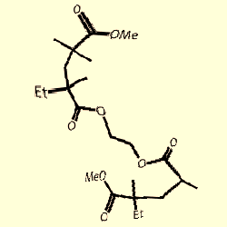 CCC(C)(CC(C)C(=O)OCCOC(=O)C(C)(CC)CC(C)(C)C(=O)OC)C(=O)OC